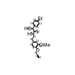 C#CCOc1ccc(CCNC(=S)C(O)c2ccc(CC)cc2)cc1OC